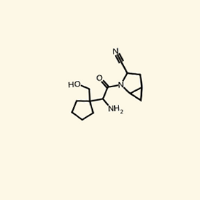 N#CC1CC2CC2N1C(=O)C(N)C1(CO)CCCC1